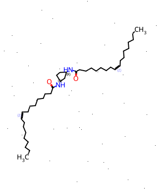 CCCCCCCC/C=C\CCCCCCCC(=O)N[C@@H]1CC[C@H](NC(=O)CCCCCCC/C=C\CCCCCCCC)C1